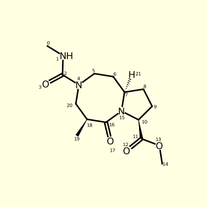 CNC(=O)N1CC[C@H]2CC[C@@H](C(=O)OC)N2C(=O)[C@@H](C)C1